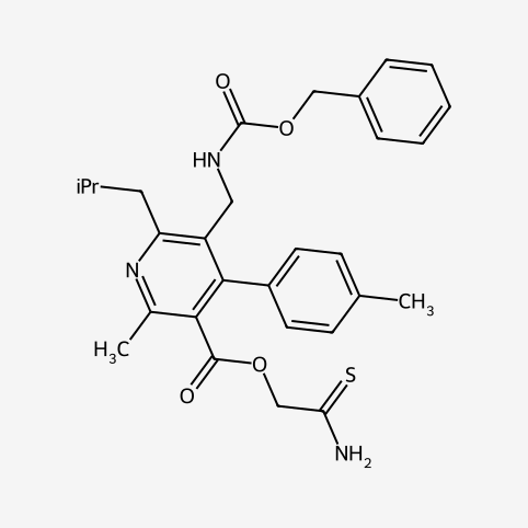 Cc1ccc(-c2c(CNC(=O)OCc3ccccc3)c(CC(C)C)nc(C)c2C(=O)OCC(N)=S)cc1